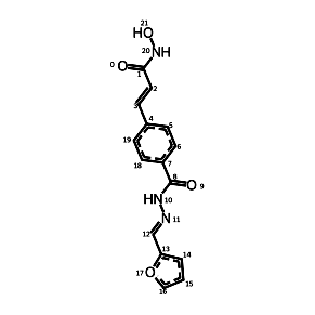 O=C(/C=C/c1ccc(C(=O)N/N=C/c2ccco2)cc1)NO